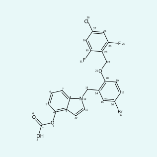 O=C(O)Oc1cccc2c1ccn2Cc1cc(Br)ccc1OCc1c(F)cc(Cl)cc1F